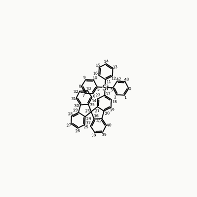 c1ccc([Si](c2ccccc2)(c2ccccc2)c2ccc3c(c2)C2(c4ccccc4-c4ccccc42)c2ccccc2-3)cc1